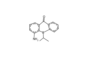 CC(C)B1c2ccccc2C(=O)c2cccc(N)c21